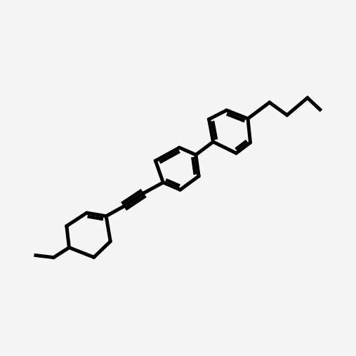 CCCCc1ccc(-c2ccc(C#CC3=CCC(CC)CC3)cc2)cc1